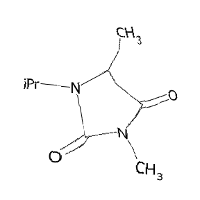 CC(C)N1C(=O)N(C)C(=O)C1C